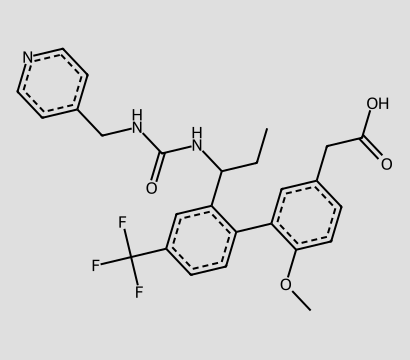 CCC(NC(=O)NCc1ccncc1)c1cc(C(F)(F)F)ccc1-c1cc(CC(=O)O)ccc1OC